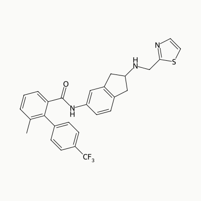 Cc1cccc(C(=O)Nc2ccc3c(c2)CC(NCc2nccs2)C3)c1-c1ccc(C(F)(F)F)cc1